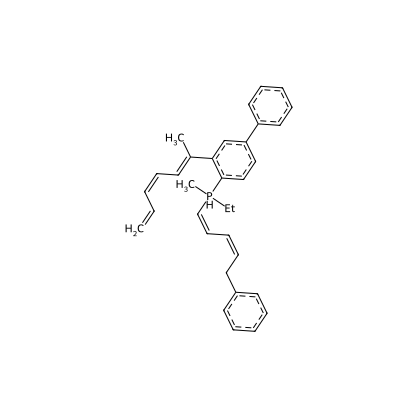 C=C/C=C\C=C(/C)c1cc(-c2ccccc2)ccc1[PH](C)(/C=C\C=C/Cc1ccccc1)CC